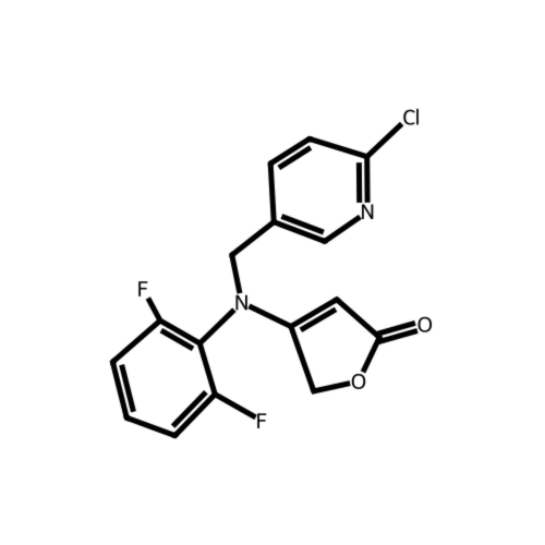 O=C1C=C(N(Cc2ccc(Cl)nc2)c2c(F)cccc2F)CO1